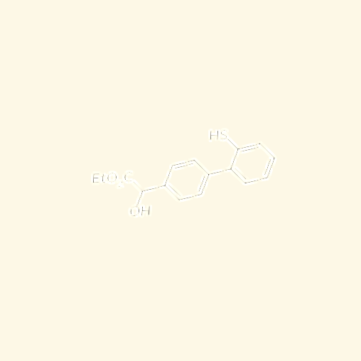 CCOC(=O)C(O)c1ccc(-c2ccccc2S)cc1